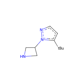 CC(C)(C)c1ccnn1C1CNC1